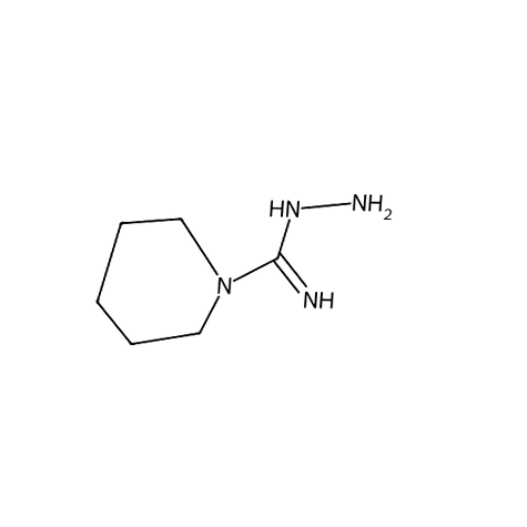 N=C(NN)N1CCCCC1